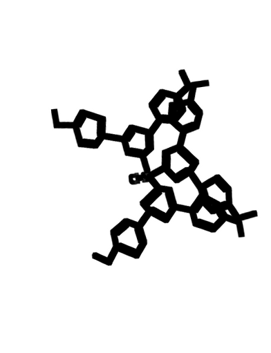 CCc1ccc(-c2cc(-c3ccc(CC)cc3)cc([Si](Cl)(c3cc(-c4ccc(CC)cc4)cc(-c4ccc(CC)cc4)c3)c3cc(-c4ccc(CC)cc4)cc(-c4ccc(CC)cc4)c3)c2)cc1